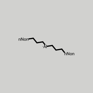 CCCCCCCCCCC[CH2][Al][CH2]CCCCCCCCCCC